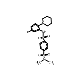 CN(C)S(=O)(=O)c1ccc(S(=O)(=O)Nc2cc(F)ccc2N2CCCCC2)cc1